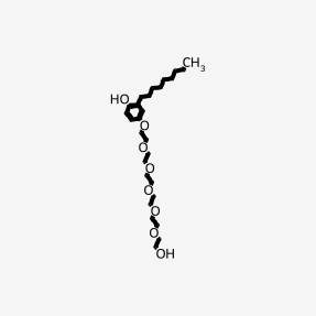 CCCCCCCCCc1cc(OCCOCCOCCOCCOCCOCCO)ccc1O